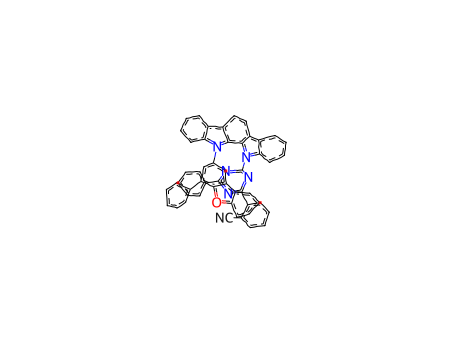 N#Cc1ccccc1-c1nc(-c2ccccc2)nc(-n2c3ccccc3c3ccc4c5ccccc5n(-c5cc(-c6ccccc6)c6oc7ccccc7c6c5)c4c32)n1